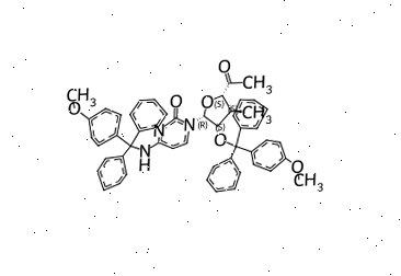 COc1ccc(C(Nc2ccn([C@@H]3O[C@H](C(C)=O)[C@@H](C)[C@@H]3OC(c3ccccc3)(c3ccccc3)c3ccc(OC)cc3)c(=O)n2)(c2ccccc2)c2ccccc2)cc1